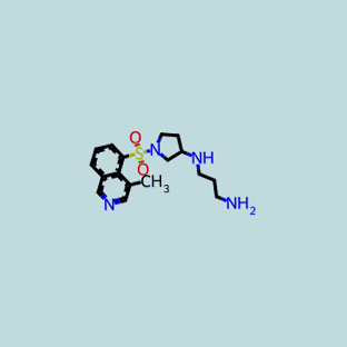 Cc1cncc2cccc(S(=O)(=O)N3CCC(NCCCN)C3)c12